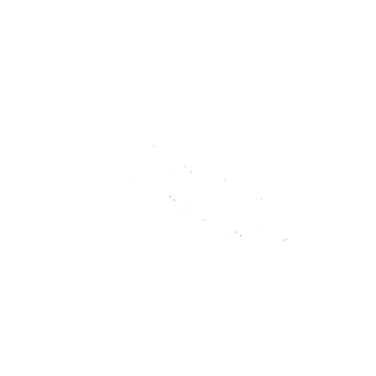 COc1ccc(-c2nc3cc4c(cc3[nH]2)N(C)C(=O)C4)cc1